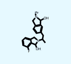 CC(C)N1Cc2ccc(CC(C)N3Cc4cccc(F)c4C3O)cc2C1O